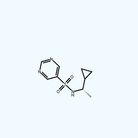 C[C@H](NS(=O)(=O)c1cncnc1)C1CC1